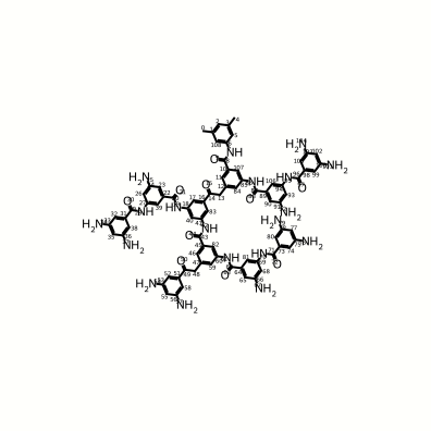 Cc1cc(C)cc(NC(=O)c2cc(CC(=O)c3cc(NC(=O)c4cc(N)cc(NC(=O)c5cc(N)cc(N)c5)c4)cc(NC(=O)c4cc(CC(=O)c5cc(N)cc(N)c5)cc(NC(=O)c5cc(N)cc(NC(=O)c6cc(N)cc(N)c6)c5)c4)c3)cc(NC(=O)c3cc(N)cc(NC(=O)c4cc(N)cc(N)c4)c3)c2)c1